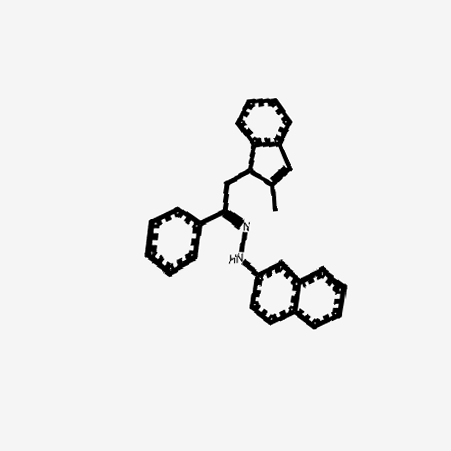 CC1=Cc2ccccc2C1CC(=NNc1ccc2ccccc2c1)c1ccccc1